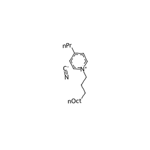 CCCCCCCCCCC[n+]1ccc(CCC)cc1.[C-]#N